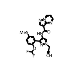 C#CCn1cc(NC(=O)c2cnn3cccnc23)c(-c2cc(SC)ccc2OC(F)F)n1